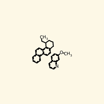 CCC1CCCc2ccc3c(ccc4ccccc43)c21.COc1ccc2cccnc2c1